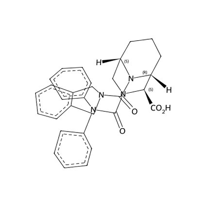 O=C(O)[C@@H]1[C@H]2CCC[C@@H](CN1C(=O)N(c1ccccc1)c1ccccc1)N2C(=O)N1Cc2ccccc2C1